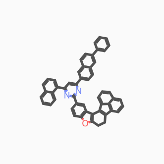 c1ccc(-c2ccc3cc(-c4cc(-c5cccc6ccccc56)nc(-c5ccc6oc7c(c6c5)C5=C(CC7)c6cccc7cccc5c67)n4)ccc3c2)cc1